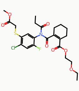 CCOCCOC(=O)C1=C(C(=O)N(C(=O)CC)c2cc(SCC(=O)OC)c(Cl)cc2F)CCCC1